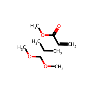 C=CC(=O)OC.CCC.COCOC